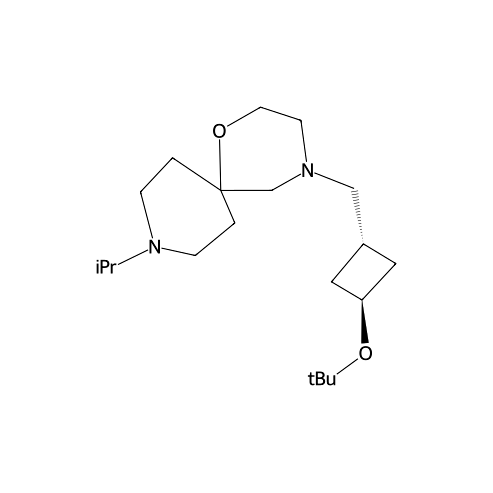 CC(C)N1CCC2(CC1)CN(C[C@H]1C[C@H](OC(C)(C)C)C1)CCO2